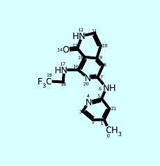 Cc1ccnc(Nc2cc3cc[nH]c(=O)c3c(NCC(F)(F)F)n2)c1